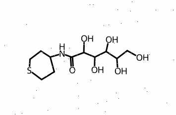 O=C(NC1CCSCC1)C(O)C(O)C(O)C(O)CO